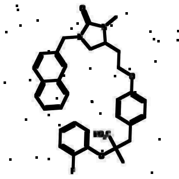 CN1C(=O)N(Cc2ccc3ccccc3c2)CC1CCOc1ccc(CC(C)(Oc2ccccc2F)C(=O)O)cc1